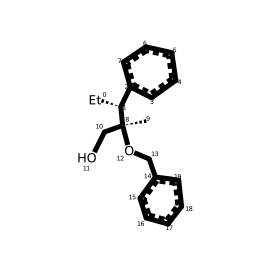 CC[C@H](c1ccccc1)[C@](C)(CO)OCc1ccccc1